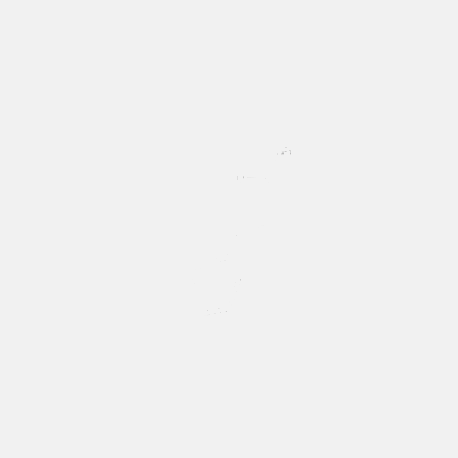 CCCC1CCC(c2ccc(C)cc2)CO1